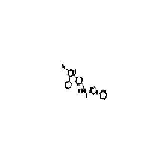 CC(NCc1ccc(-c2ncc(C#N)cc2-c2ccccc2)cc1)c1cnn(-c2ccccc2)c1